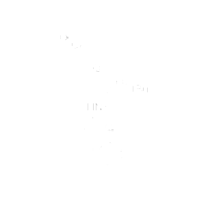 CC(C)(C)O/C(=C/NC1C=Cc2ccccc2O1)COCC=C=O